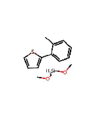 CO[SiH2]OC.Cc1ccccc1-c1cccs1